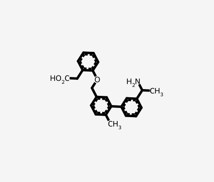 Cc1ccc(COc2ccccc2CC(=O)O)cc1-c1cccc(C(C)N)c1